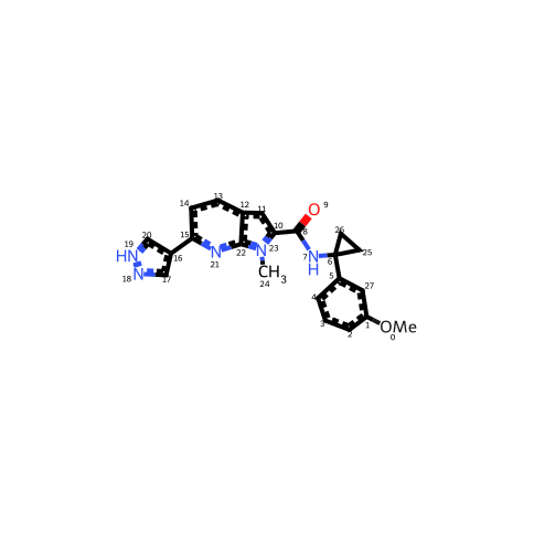 COc1cccc(C2(NC(=O)c3cc4ccc(-c5cn[nH]c5)nc4n3C)CC2)c1